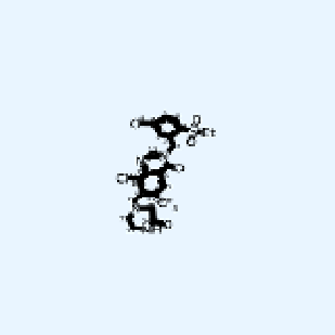 CCS(=O)(=O)c1ccc(Cl)cc1Cn1cnc2c(Cl)c(CN3CCNC(=O)C3)c(C(F)(F)F)cc2c1=O